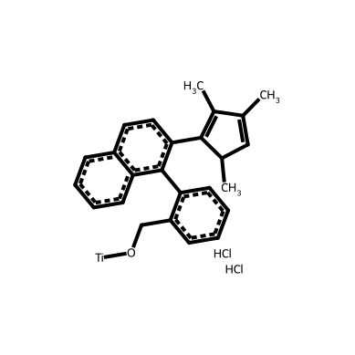 CC1=CC(C)C(c2ccc3ccccc3c2-c2ccccc2C[O][Ti])=C1C.Cl.Cl